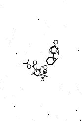 CC(C)OC(=O)N1[C@H](C)C[C@H](S(C)(=O)=O)[C@H]1COC1CCC2(c3ncc(Cl)cn3)CC2C1